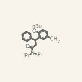 CCCCOc1ccc(C)cc1C(CC(=O)N(C(C)C)C(C)C)c1ccccc1